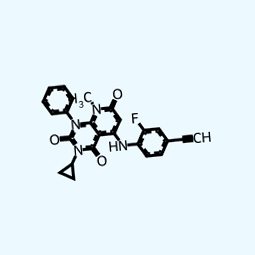 C#Cc1ccc(Nc2cc(=O)n(C)c3c2c(=O)n(C2CC2)c(=O)n3-c2ccccc2)c(F)c1